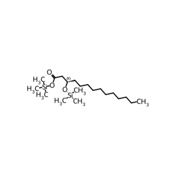 CCCCCCCCCCC[C@H](CC(=O)O[Si](C)(C)C)O[Si](C)(C)C